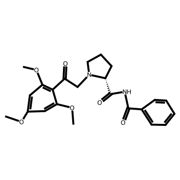 COc1cc(OC)c(C(=O)CN2CCC[C@@H]2C(=O)NC(=O)c2ccccc2)c(OC)c1